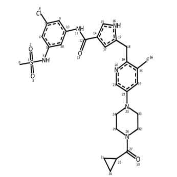 CS(=O)(=O)Nc1cc(Cl)cc(NC(=O)c2c[nH]c(Cc3ncc(N4CCN(C(=O)C5CC5)CC4)cc3F)c2)c1